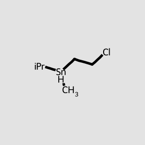 C[CH](C)[SnH]([CH3])[CH2]CCl